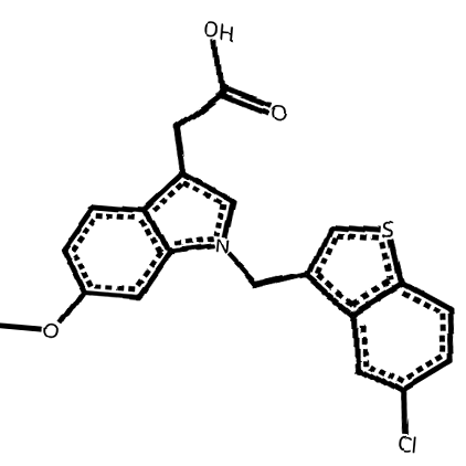 COc1ccc2c(CC(=O)O)cn(Cc3csc4ccc(Cl)cc34)c2c1